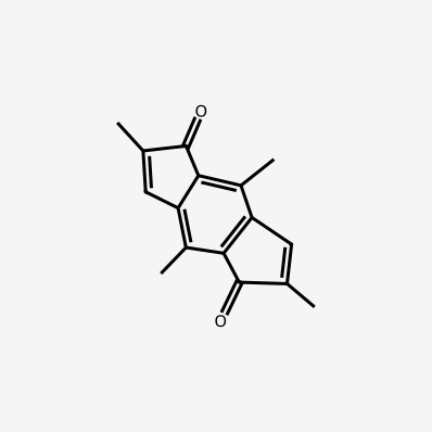 Cc1cc2c(C)c3c(=O)c(C)cc3c(C)c2c1=O